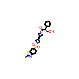 Cc1nc2ccc(S(=O)(=O)N3CC(=C4CN(C(=O)[C@H](CO)c5ccccc5)C4)C3)cc2s1